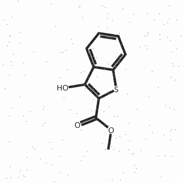 COC(=O)c1sc2ccccc2c1O